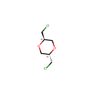 ClC[C@@H]1CO[C@@H](CCl)CO1